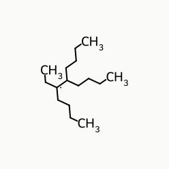 CCCC[C](CC)C(CCCC)CCCC